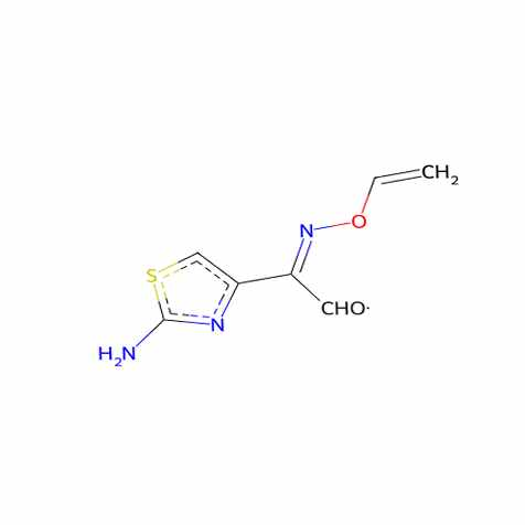 C=CON=C([C]=O)c1csc(N)n1